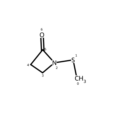 CSN1CCC1=O